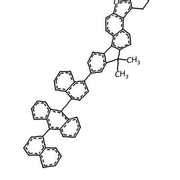 CC1(C)c2cc(-c3ccc(-c4c5ccccc5c(-c5cccc6ccccc56)c5ccccc45)c4ccccc34)ccc2-c2c1ccc1c2ccc2oc3c(c21)CCC=C3